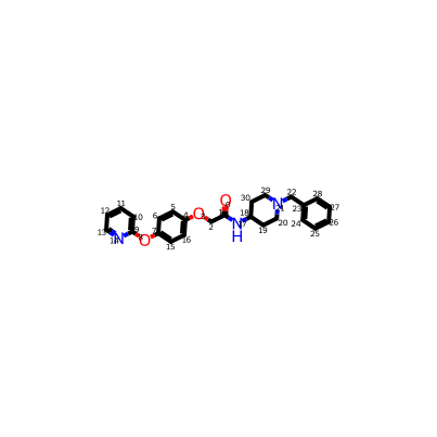 O=C(COc1ccc(Oc2ccccn2)cc1)NC1CCN(Cc2ccccc2)CC1